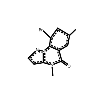 Cc1cc(Br)c2c(c1)c(=O)n(C)c1ccnn21